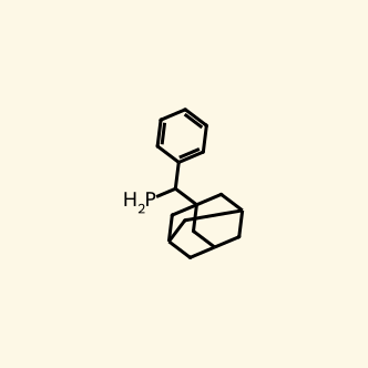 PC(c1ccccc1)C12CC3CC(CC(C3)C1)C2